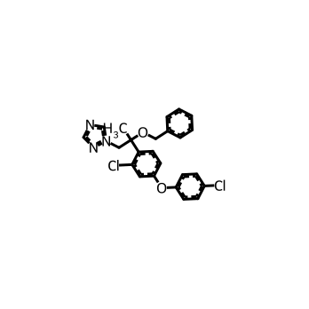 CC(Cn1cncn1)(OCc1ccccc1)c1ccc(Oc2ccc(Cl)cc2)cc1Cl